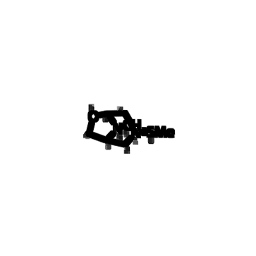 CSN1CC2COC(C1)N2C